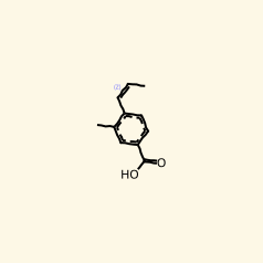 C/C=C\c1ccc(C(=O)O)cc1C